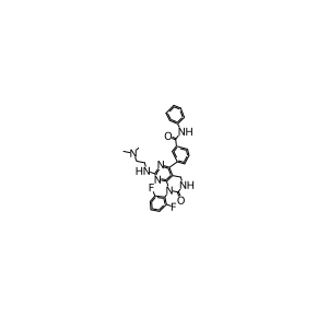 CN(C)CCNc1nc(-c2cccc(C(=O)Nc3ccccc3)c2)c2c(n1)N(c1c(F)cccc1F)C(=O)NC2